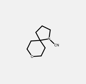 N#CN1CCCC12CCOCC2